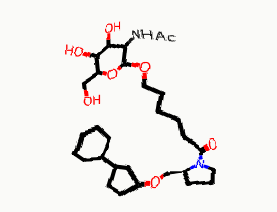 CC(=O)NC1C(OCCCCCC(=O)N2CCC[C@H]2COC2CCC(C3CCCCC3)C2)OC(CO)C(O)C1O